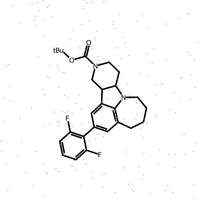 CC(C)(C)OC(=O)N1CCC2C(C1)c1cc(-c3c(F)cccc3F)cc3c1N2CCCC3